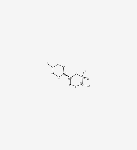 CC1CCN([C@@H]2CC[C@@H](C)C(C)(C)C2)CC1